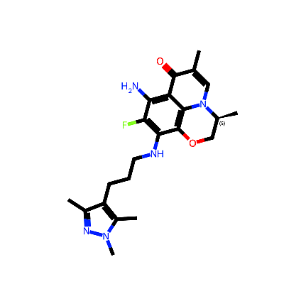 Cc1nn(C)c(C)c1CCCNc1c(F)c(N)c2c(=O)c(C)cn3c2c1OC[C@@H]3C